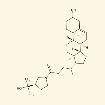 CC(CCC(=O)N1CC[C@@H](C(O)(C(F)(F)F)C(F)(F)F)C1)[C@H]1CC[C@H]2[C@@H]3CC=C4C[C@@H](O)CC[C@]4(C)[C@H]3CC[C@]12C